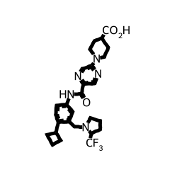 O=C(Nc1ccc(C2CCC2)c(CN2CCCC2C(F)(F)F)c1)c1cnc(N2CCC(C(=O)O)CC2)cn1